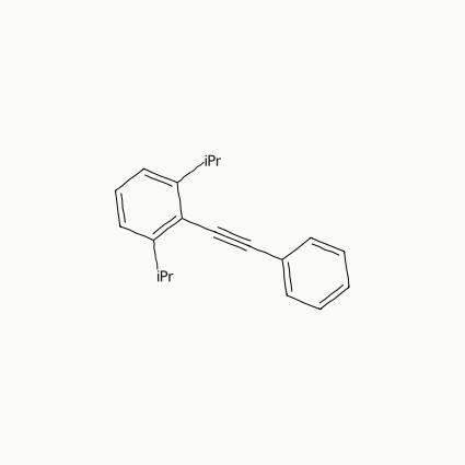 CC(C)c1cccc(C(C)C)c1C#Cc1ccccc1